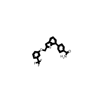 NC(=O)c1ccc(-c2cccc3cc(COc4cccc(C(F)(F)F)c4)sc23)cc1